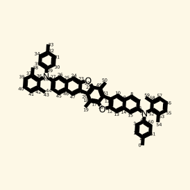 Cc1ccc(N(c2ccc3cc4c(cc3c2)oc2c(C)c3c(oc5cc6cc(N(c7ccc(C)cc7)c7c(C)cccc7C)ccc6cc53)c(C)c24)c2c(C)cccc2C)cc1